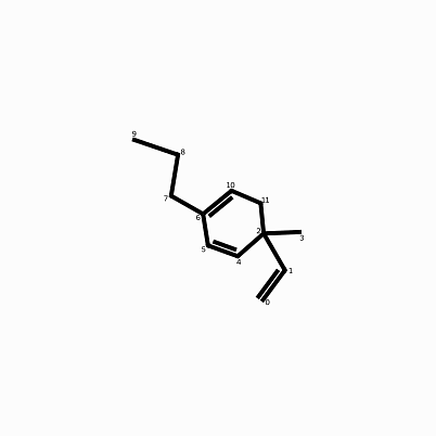 C=CC1(C)C=CC(CCC)=CC1